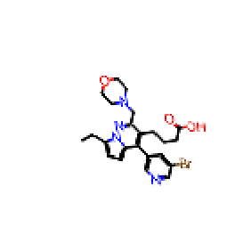 CCc1ccc2c(-c3cncc(Br)c3)c(CCCC(=O)O)c(CN3CCOCC3)nn12